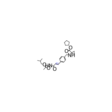 CC(C)COC(C)ONC(=O)/C=C/c1ccc(CNC2(C(=O)OC3CCCC3)CC2)cc1